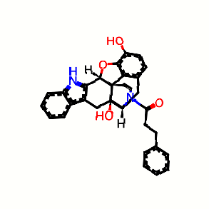 O=C(CCc1ccccc1)N1CC[C@]23c4c5ccc(O)c4O[C@H]2c2[nH]c4ccccc4c2C[C@@]3(O)[C@H]1C5